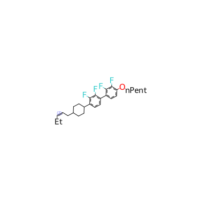 CC/C=C\CC1CCC(c2ccc(-c3ccc(OCCCCC)c(F)c3F)c(F)c2F)CC1